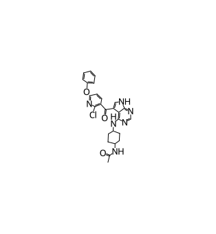 CC(=O)NC1CCC(Nc2ncnc3[nH]cc(C(=O)c4ccc(Oc5ccccc5)nc4Cl)c23)CC1